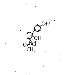 CC(=O)N(Cl)c1cccc(-c2ccc(O)cc2)c1O